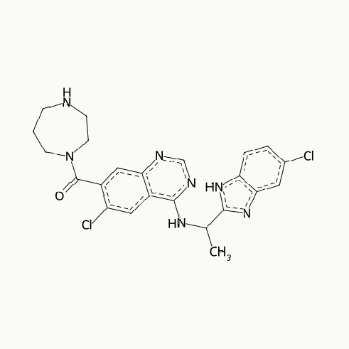 CC(Nc1ncnc2cc(C(=O)N3CCCNCC3)c(Cl)cc12)c1nc2cc(Cl)ccc2[nH]1